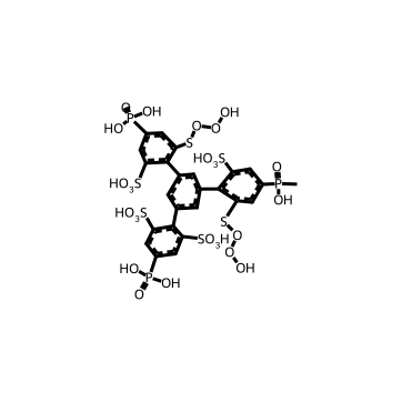 CP(=O)(O)c1cc(SOOO)c(-c2cc(-c3c(SOOO)cc(P(=O)(O)O)cc3S(=O)(=O)O)cc(-c3c(S(=O)(=O)O)cc(P(=O)(O)O)cc3S(=O)(=O)O)c2)c(S(=O)(=O)O)c1